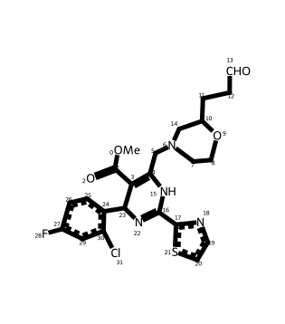 COC(=O)C1=C(CN2CCOC(CCC=O)C2)NC(c2nccs2)=NC1c1ccc(F)cc1Cl